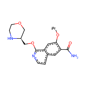 CC(C)Oc1cc2c(OC[C@@H]3COCCN3)nccc2cc1C(N)=O